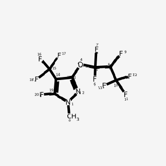 Cn1nc(OC(F)(F)C(F)C(F)(F)F)c(C(F)(F)F)c1F